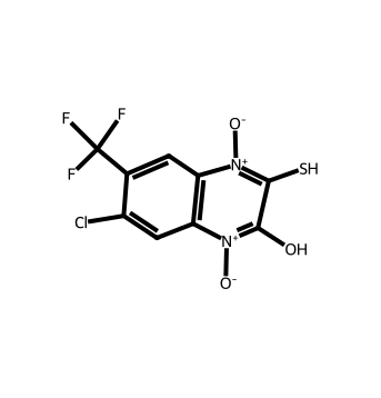 [O-][n+]1c(O)c(S)[n+]([O-])c2cc(C(F)(F)F)c(Cl)cc21